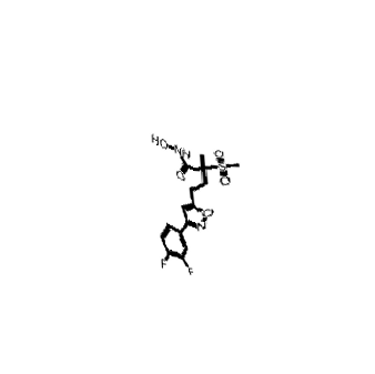 CC(CCc1cc(-c2ccc(F)c(F)c2)no1)(C(=O)NO)S(C)(=O)=O